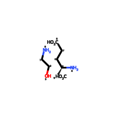 NCCO.N[C@@H](CCC(=O)O)C(=O)O